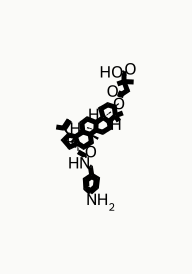 C=C(C)[C@@H]1CC[C@]2(CC(=O)NCc3ccc(N)cc3)CC[C@]3(C)[C@H](CC[C@@H]4[C@@]5(C)CC[C@H](OC(=O)CC(C)(C)C(=O)O)C(C)(C)[C@@H]5CC[C@]43C)[C@@H]12